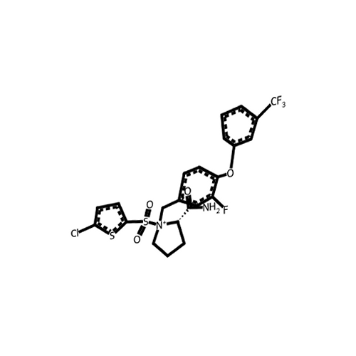 NC(=O)[C@@H]1CCC[N+]1(Cc1ccc(Oc2cccc(C(F)(F)F)c2)c(F)c1)S(=O)(=O)c1ccc(Cl)s1